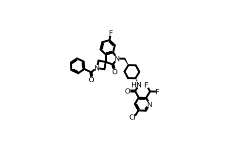 O=C(N[C@H]1CC[C@H](CN2C(=O)C3(CN(C(=O)c4ccccc4)C3)c3ccc(F)cc32)CC1)c1cc(Cl)cnc1C(F)F